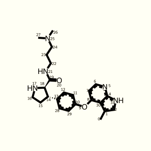 Cc1c[nH]c2nccc(Oc3ccc([C@@H]4CCN[C@H]4C(=O)NCCCN(C)C)cc3)c12